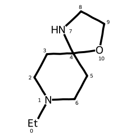 CCN1CCC2(CC1)NCCO2